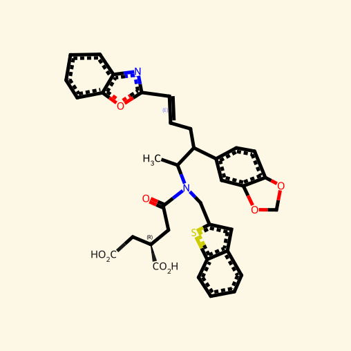 CC(C(C/C=C/c1nc2ccccc2o1)c1ccc2c(c1)OCO2)N(Cc1cc2ccccc2s1)C(=O)C[C@H](CC(=O)O)C(=O)O